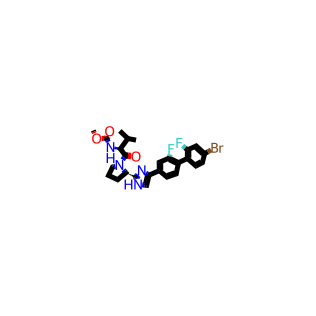 COC(=O)N[C@H](C(=O)N1CCC[C@H]1c1nc(-c2ccc(-c3ccc(Br)cc3F)c(F)c2)c[nH]1)C(C)C